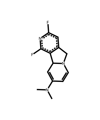 CN(C)C1=CC2c3c(cc(F)nc3F)CN2C=C1